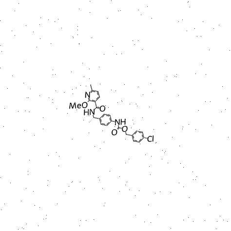 COc1nc(C)ccc1C(=O)N[C@@H](C)c1ccc(NC(=O)OCc2ccc(Cl)cc2)cc1